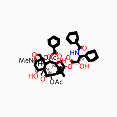 CN[C@@]12C[C@H](O)[C@@]3(C)C(=O)[C@H](OC(C)=O)C4=C(C)[C@@H](OC(=O)[C@H](O)[C@@H](NC(=O)c5ccccc5)c5ccccc5)C[C@@](O)([C@@H](OC(=O)c5ccccc5)[C@@H]3[C@]1(OC(C)=O)CO2)C4(C)C